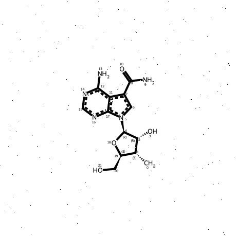 C[C@H]1[C@@H](O)[C@H](n2cc(C(N)=O)c3c(N)ncnc32)O[C@@H]1CO